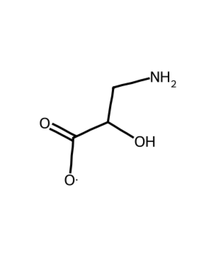 NCC(O)C([O])=O